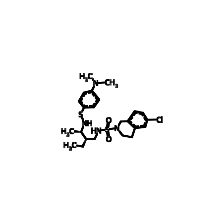 CC[C@H](CNS(=O)(=O)N1CCc2cc(Cl)ccc2C1)[C@@H](C)NSc1ccc(N(C)C)cc1